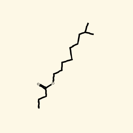 CCCC(=O)OCCCCCCCC(C)C